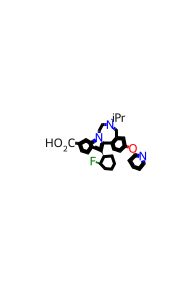 CC(C)N1CCn2c(c([C@@H]3CCCC[C@H]3F)c3ccc(C(=O)O)cc32)-c2ccc(Oc3ccccn3)cc2C1